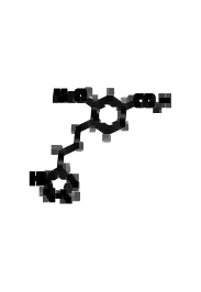 COc1cc(C(=O)O)ccc1CCCc1nnn[nH]1